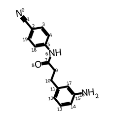 N#Cc1ccc(NC(=O)CCc2cccc(N)c2)cc1